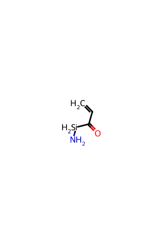 C=CC(=O)[SiH2]N